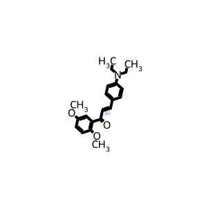 CCN(CC)c1ccc(/C=C/C(=O)c2cc(OC)ccc2OC)cc1